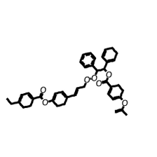 C=C(C)OC1=CC=C(C(=O)OC(C2=CCCC=C2)C(OOC/C=C/C2=CC=C(OC(=O)C3=CC=C(CC)CC3)CC2)c2ccccc2)CC1